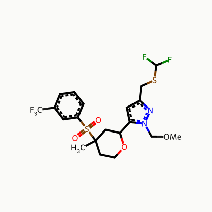 COCn1nc(CSC(F)F)cc1C1CC(C)(S(=O)(=O)c2cccc(C(F)(F)F)c2)CCO1